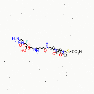 CCC(=O)N(CC(C)(C)C(C)(C)N(CCSCCC(=O)O)C(=O)CC)C(C)(C)C(C)(C)CCNC(=O)CCCc1cn(CCC(=O)OC2C(CO)OC(n3ccc(N)nc3=O)C2F)nn1